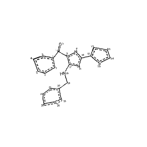 O=C(c1ccccc1)n1nc(-c2cccs2)nc1NCc1ccccc1